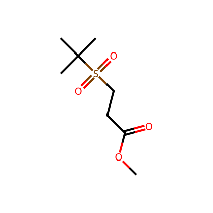 COC(=O)CCS(=O)(=O)C(C)(C)C